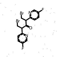 O=C(C(CBr)c1ccc(F)cn1)C(CBr)c1ccc(F)cn1